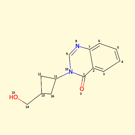 O=c1c2ccccc2ncn1C1CC(CO)C1